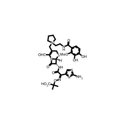 COc1c(C(=O)NCC[N+]2(CC3=C(C=O)N4C(=O)[C@@H](NC(=O)/C(=N\OC(C)(C)C(=O)O)c5csc(N)n5)[C@H]4SC3)CCCC2)ccc(O)c1O